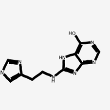 Oc1ncnc2nc(NCCc3c[nH]cn3)[nH]c12